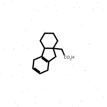 O=C(O)CC12CCCCC1C1=C(CC=CC1)C2